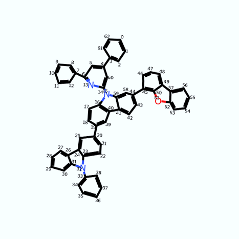 c1ccc(-c2cc(-c3ccccc3)nc(-n3c4ccc(-c5ccc6c(c5)c5ccccc5n6-c5ccccc5)cc4c4ccc(-c5cccc6c5oc5ccccc56)cc43)c2)cc1